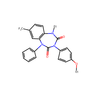 CCOc1ccc(N2C(=O)N(CC)c3ccc(C(F)(F)F)cc3N(c3ccccc3)C2=O)cc1